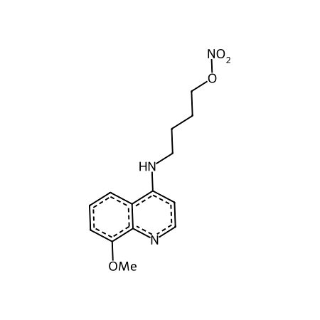 COc1cccc2c(NCCCCO[N+](=O)[O-])ccnc12